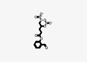 O=Cc1ccccc1OC(=O)CCC(CO[N+](=O)[O-])O[N+](=O)[O-]